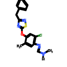 CCN(C)C=Nc1cc(C)c(Oc2nc(Cc3ccccc3)ns2)cc1Cl